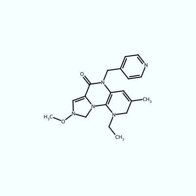 CCN1CC(C)=CC2=C1N1CN(OC)C=C1C(=O)N2Cc1ccncc1